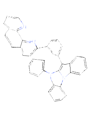 c1ccc(-n2c3ccccc3n3c4ccccc4c(-c4cccc(-c5ccc6ccc7cccnc7c6n5)c4)c23)cc1